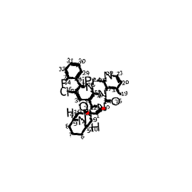 C=CC(=O)N1[C@@H]2CCC[C@H]1CN(c1nc(=O)n(-c3c(C)ccnc3C(C)C)c3nc(-c4ccccc4F)c(Cl)cc13)C2